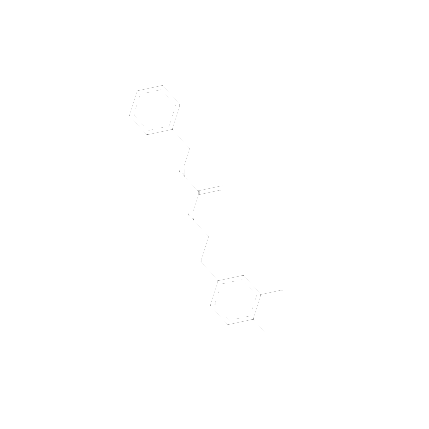 Oc1ccc(CCNC(=S)NCc2ccccc2)cc1O